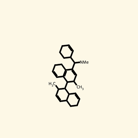 CNC(C1=CC(C)C(C2C(C)C=CC3CCC=CC32)C2=C1CCC=C2)C1C=CCCC1